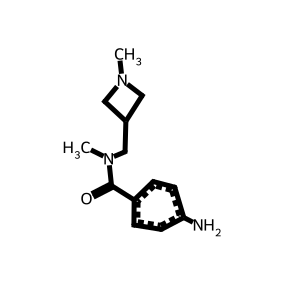 CN1CC(CN(C)C(=O)c2ccc(N)cc2)C1